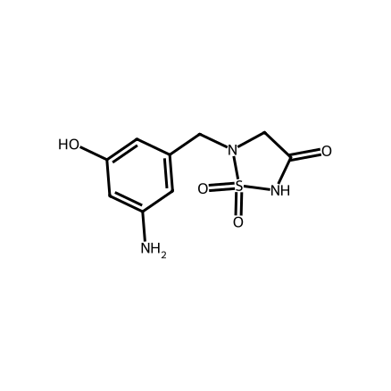 Nc1cc(O)cc(CN2CC(=O)NS2(=O)=O)c1